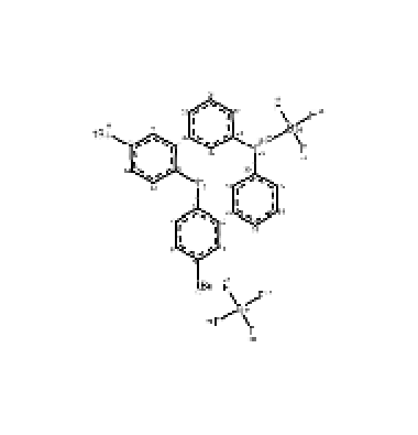 CC(C)(C)c1ccc([I+]c2ccc(C(C)(C)C)cc2)cc1.F[B-](F)(F)F.F[B-](F)(F)F.c1ccc([I+]c2ccccc2)cc1